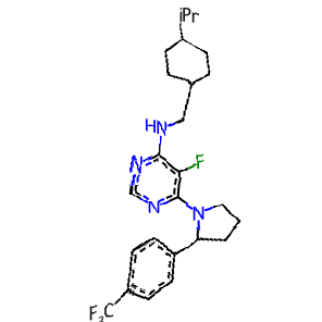 CC(C)C1CCC(CNc2ncnc(N3CCCC3c3ccc(C(F)(F)F)cc3)c2F)CC1